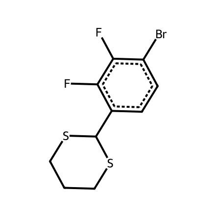 Fc1c(Br)ccc(C2SCCCS2)c1F